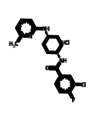 Cc1cccc(N[C@H]2CC[C@@H](NC(=O)c3ccc(F)c(Cl)c3)CC2)n1.Cl